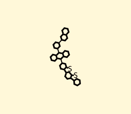 c1cc(-c2ccc3ccccc3c2)cc(-c2c3ccccc3c(-c3ccc4c(c3)sc3c4ccc4c5ccccc5sc43)c3ccccc23)c1